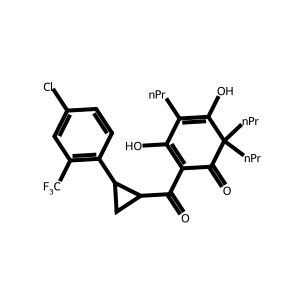 CCCC1=C(O)C(CCC)(CCC)C(=O)C(C(=O)C2CC2c2ccc(Cl)cc2C(F)(F)F)=C1O